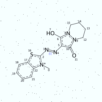 C[n+]1c(/N=N/c2c(O)n3n(c2=O)CCCC3)sc2ccccc21